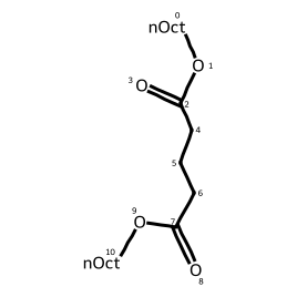 CCCCCCCCOC(=O)CCCC(=O)OCCCCCCCC